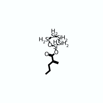 C=C(CCC)C(=O)O[SiH]1O[SiH2][SiH2][SiH2][SiH2]1